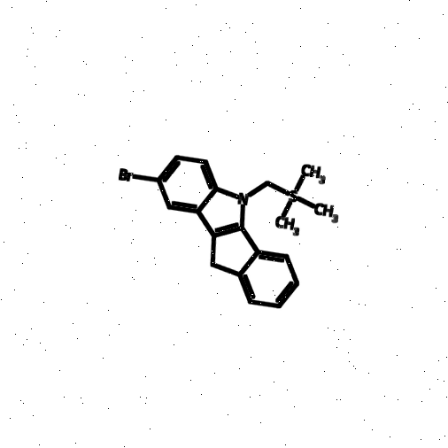 CS(C)(C)Cn1c2c(c3cc(Br)ccc31)Cc1ccccc1-2